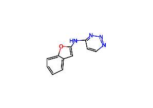 c1ccc2oc(Nc3ccnnn3)cc2c1